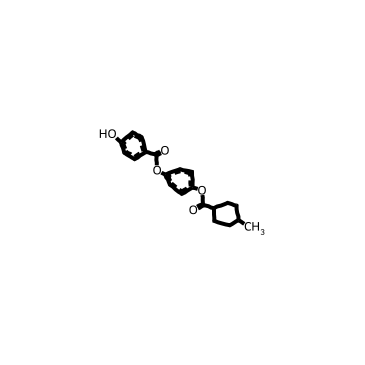 CC1CCC(C(=O)Oc2ccc(OC(=O)c3ccc(O)cc3)cc2)CC1